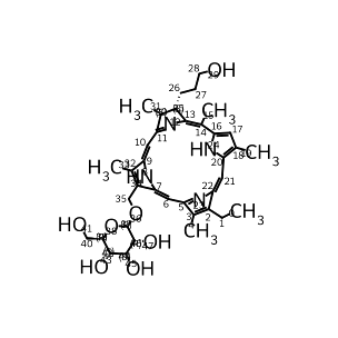 CCC1=C(C)c2cc3[nH]c(cc4nc(c(C)c5cc(C)c(cc1n2)[nH]5)[C@@H](CCCO)[C@@H]4C)c(C)c3CO[C@@H]1O[C@H](CO)[C@@H](O)[C@H](O)[C@H]1O